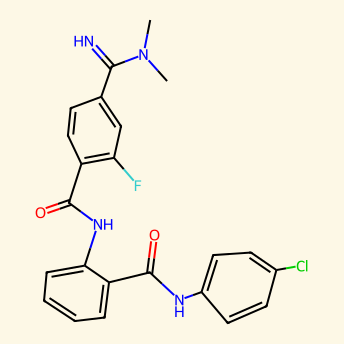 CN(C)C(=N)c1ccc(C(=O)Nc2ccccc2C(=O)Nc2ccc(Cl)cc2)c(F)c1